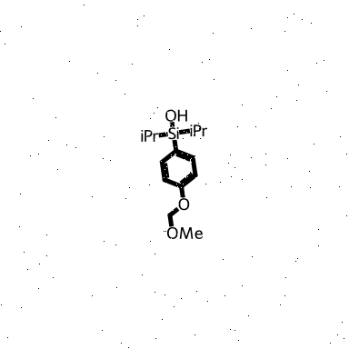 COCOc1ccc([Si](O)(C(C)C)C(C)C)cc1